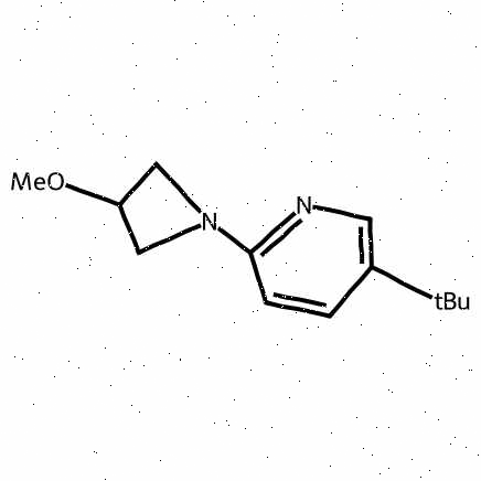 COC1CN(c2ccc(C(C)(C)C)cn2)C1